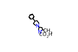 CC1CC(N2CCC(c3ccccc3)CC2)CN1C(=O)O